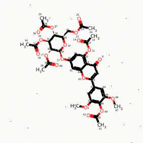 COc1cc(-c2cc(=O)c3c(OC(C)=O)cc(O[C@@H]4O[C@H](COC(C)=O)[C@@H](OC(C)=O)[C@H](OC(C)=O)[C@H]4OC(C)=O)cc3o2)cc(OC)c1OC(C)=O